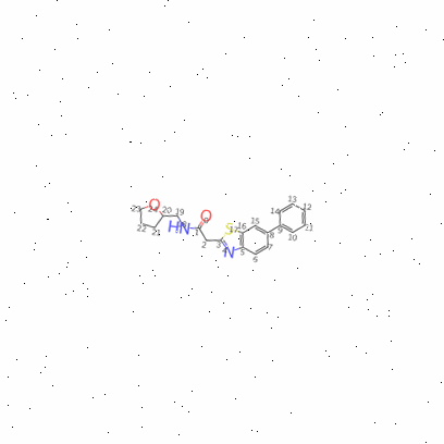 O=C(Cc1nc2ccc(-c3ccccc3)cc2s1)NCC1CCCO1